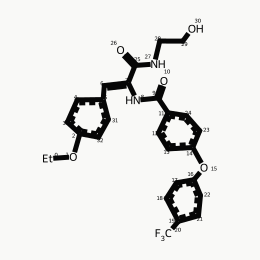 CCOc1ccc(C=C(NC(=O)c2ccc(Oc3ccc(C(F)(F)F)cc3)cc2)C(=O)NCCO)cc1